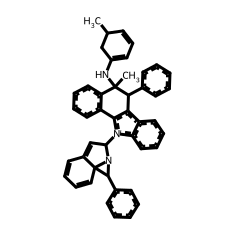 CC1C=CC=C(NC2(C)c3ccccc3-c3c(c4ccccc4n3C3C=C4C=CC=CC45C(c4ccccc4)N35)C2c2ccccc2)C1